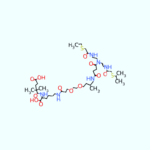 CCSCC(=O)NCCN(CCNC(=O)CSC(C)C)C(=O)CCC(=O)NCC(C)CCOCCOCCC(=O)NCCCC[C@H](NC(=O)C(C)(C)CCC(=O)O)C(=O)O